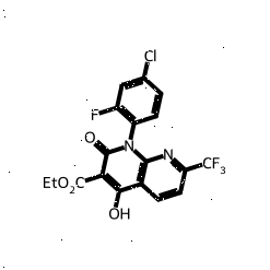 CCOC(=O)c1c(O)c2ccc(C(F)(F)F)nc2n(-c2ccc(Cl)cc2F)c1=O